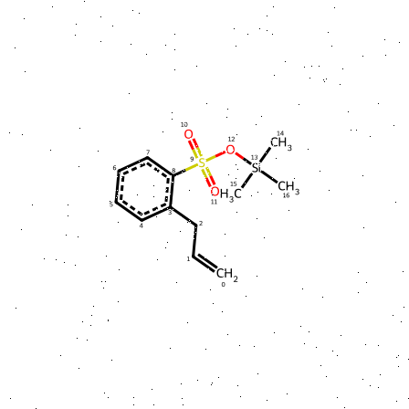 C=CCc1ccccc1S(=O)(=O)O[Si](C)(C)C